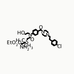 CCOC(=O)C(N)C(C)(C)SCC(=O)N(CCO)c1ccc(C(=O)N2CCN(CCc3ccc(Cl)cc3)CC2)cc1